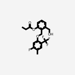 CCC(=O)Oc1cccc(CO)c1COc1cc(F)c(C)cc1C(F)(F)F